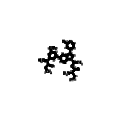 C=CC(=O)N(C)c1cc(OC)cc(-c2cnc3c(c2)c(-c2ccnc(F)c2)cn3C(C)OC(=O)C(N)CC(C)C)c1